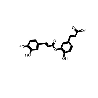 O=C(O)C=Cc1ccc(O)c(OC(=O)C=Cc2ccc(O)c(O)c2)c1